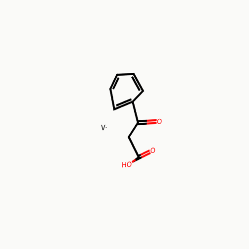 O=C(O)CC(=O)c1ccccc1.[V]